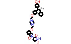 CCC(=C(c1ccc(O)cc1)c1ccc(OCCN2CCN(CCOc3cccc4c3CN(C3CCC(=O)NC3=O)C4=O)CC2)cc1)c1ccccc1